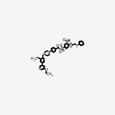 CCOc1cncc(-c2ccc(CN3CCN(c4ccc(C(=O)NS(=O)(=O)c5ccc(NCCSc6ccccc6)c([N+](=O)[O-])c5)cc4)CC3)c(CC)c2)c1